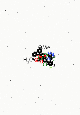 C=CCOC[C@H](COC(c1ccccc1)(c1ccc(OC)cc1)c1ccc(OC)cc1)Oc1c(Cl)c(C)c(-n2c(-c3ccc(F)cc3)c(Cl)c3ncnc(Cl)c32)c(C)c1Cl